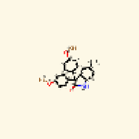 Cc1ccc2c(c1)C(c1ccc(OS)cc1)(c1ccc(OS)cc1)C(=O)N2